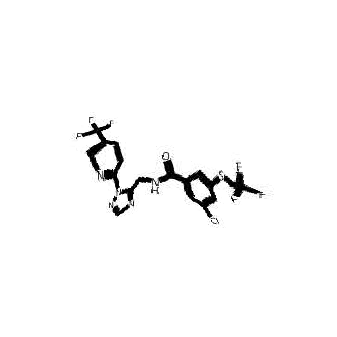 O=C(NCc1ncnn1-c1ccc(C(F)(F)F)cn1)c1cc(Cl)cc(SC(F)(F)F)c1